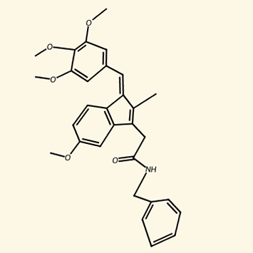 COc1ccc2c(c1)C(CC(=O)NCc1ccccc1)=C(C)/C2=C/c1cc(OC)c(OC)c(OC)c1